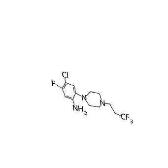 Nc1cc(F)c(Cl)cc1N1CCN(CCC(F)(F)F)CC1